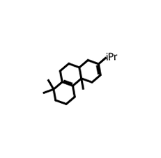 CC(C)C1=CCC2(C)C3=C(CCC2C1)C(C)(C)CCC3